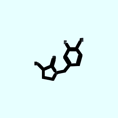 O=C1C(Br)CCN1Cc1ccc(Cl)c(F)c1